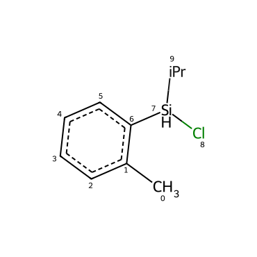 Cc1ccccc1[SiH](Cl)C(C)C